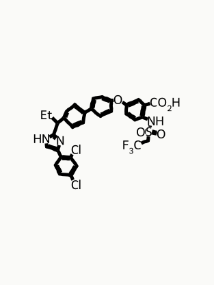 CCC(c1ccc(-c2ccc(Oc3ccc(NS(=O)(=O)CC(F)(F)F)c(C(=O)O)c3)cc2)cc1)c1nc(-c2ccc(Cl)cc2Cl)c[nH]1